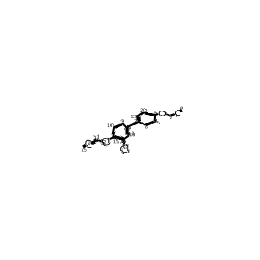 C=C=COc1ccc(-c2ccc(OC=C=C)c(Cl)c2)cc1